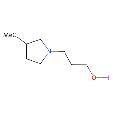 COC1CCN(CCCOI)C1